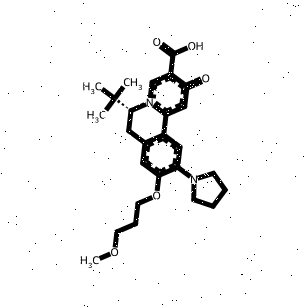 COCCCOc1cc2c(cc1N1CCCC1)-c1cc(=O)c(C(=O)O)cn1[C@@H](C(C)(C)C)C2